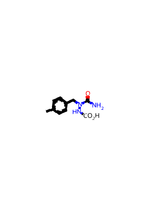 Cc1ccc(CN(NC(=O)O)C(N)=O)cc1